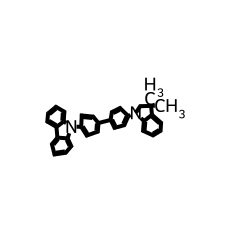 CC1(C)CN(c2ccc(-c3ccc(-n4c5ccccc5c5ccccc54)cc3)cc2)c2ccccc21